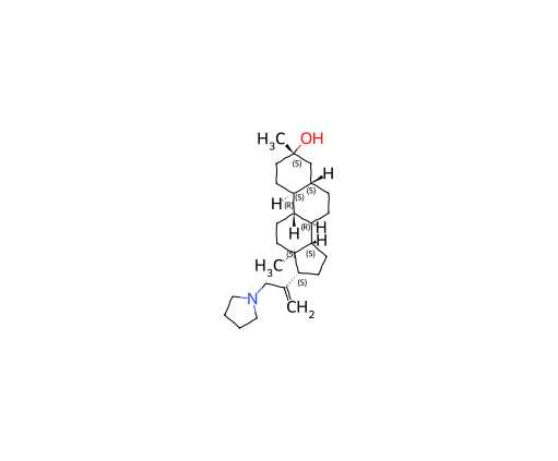 C=C(CN1CCCC1)[C@H]1CC[C@H]2[C@@H]3CC[C@H]4C[C@@](C)(O)CC[C@@H]4[C@H]3CC[C@]12C